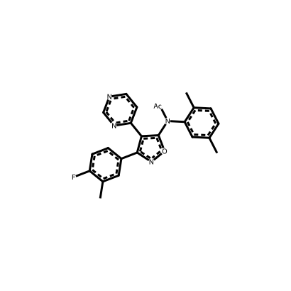 CC(=O)N(c1cc(C)ccc1C)c1onc(-c2ccc(F)c(C)c2)c1-c1ccncn1